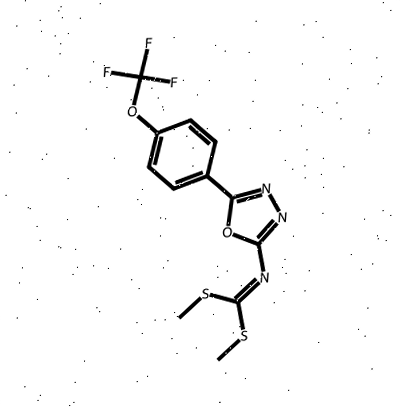 CSC(=Nc1nnc(-c2ccc(OC(F)(F)F)cc2)o1)SC